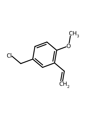 C=Cc1cc(CCl)ccc1OC